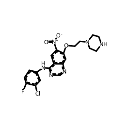 O=[N+]([O-])c1cc2c(Nc3ccc(F)c(Cl)c3)ncnc2cc1OCCN1CCNCC1